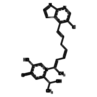 C/C(=C\C=C/CC=Cc1c(Cl)cnc2c1C=C=N2)n1cc(O)c(=O)cc1C(C)O